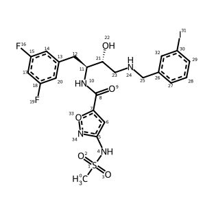 CS(=O)(=O)Nc1cc(C(=O)N[C@@H](Cc2cc(F)cc(F)c2)[C@H](O)CNCc2cccc(I)c2)on1